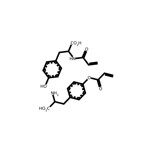 C=CC(=O)NC(Cc1ccc(O)cc1)C(=O)O.C=CC(=O)Oc1ccc(CC(N)C(=O)O)cc1